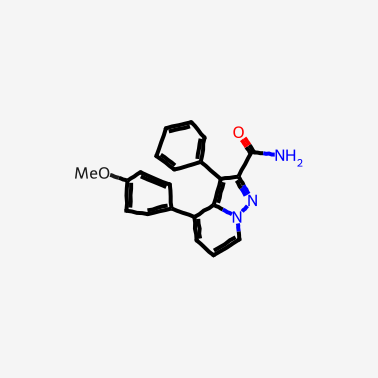 COc1ccc(-c2cccn3nc(C(N)=O)c(-c4ccccc4)c23)cc1